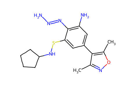 Cc1noc(C)c1-c1cc(N)c(N=NN)c(SNC2CCCC2)c1